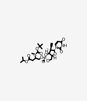 C#C[C@]1(C)[C@@H]2O[P@](=O)(OCC(CC(=O)OC(C)C)N(C)C(=O)OC(C)(C)C)OC[C@H]2O[C@H]1n1ccc(=O)[nH]c1=O